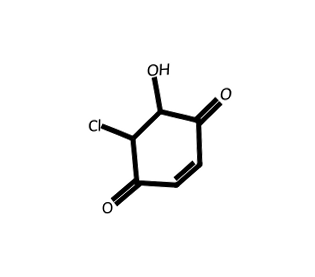 O=C1C=CC(=O)C(Cl)C1O